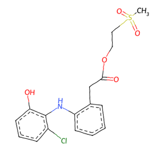 CS(=O)(=O)CCOC(=O)Cc1ccccc1Nc1c(O)cccc1Cl